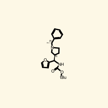 C[C@H](c1ccccc1)N1CC[C@@H](C(NC(=O)OC(C)(C)C)c2ccco2)C1